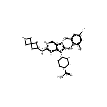 NC(=O)[C@H]1CC[C@H](n2c(Nc3c(F)cc(Cl)cc3Cl)nc3cnc(NC4CC5(COC5)C4)nc32)CC1